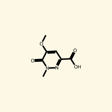 COc1cc(C(=O)O)nn(C)c1=O